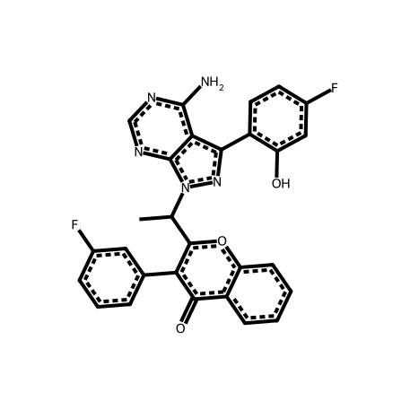 CC(c1oc2ccccc2c(=O)c1-c1cccc(F)c1)n1nc(-c2ccc(F)cc2O)c2c(N)ncnc21